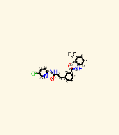 O=C(/C=C/c1cccc(C(=O)Nc2cccc(C(F)(F)F)c2)c1)Nc1ccc(Cl)cn1